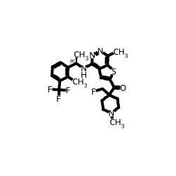 Cc1c([C@@H](C)Nc2nnc(C)c3sc(C(=O)C4(CF)CCN(C)CC4)cc23)cccc1C(F)(F)F